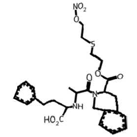 CC(NC(CCc1ccccc1)C(=O)O)C(=O)N1Cc2ccccc2CC1C(=O)OCCSCCO[N+](=O)[O-]